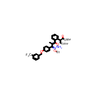 CCO/N=C(/C(C)=C(\ON)c1ccccc1/C(=C/OC)C(=O)OC)c1ccc(OCc2cccc(C(F)(F)F)c2)cc1